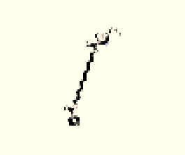 C=N/C=C\N(C)C(=O)OCCCCCCCCCCCOC(=O)n1ccnc1